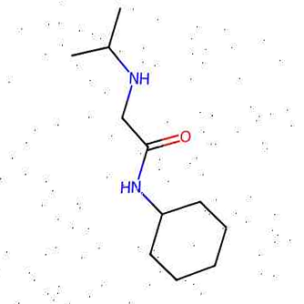 CC(C)NCC(=O)NC1CCCCC1